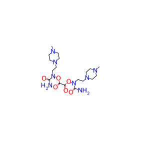 CN1CCN(CCN(OC(=O)C(=O)ON(CCN2CCN(C)CC2)C(N)=O)C(N)=O)CC1